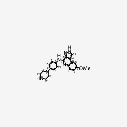 COc1ccc2nc(Nc3ccc(N4CCNCC4)cc3)c3n[nH]cc3c2c1